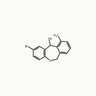 Cc1cccc2c1C(C#N)c1cc(Br)ccc1OC2